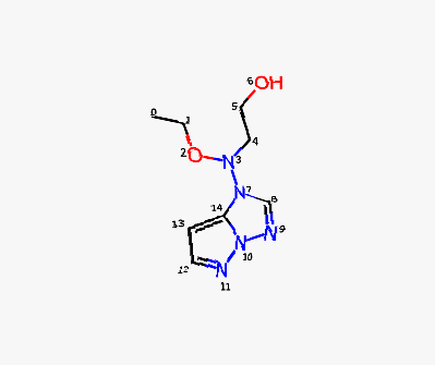 CCON(CCO)n1cnn2nccc12